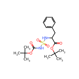 CC(C)(C)OC(=O)NS(=O)(=O)NC(Cc1ccccc1)C(=O)OC(C)(C)C